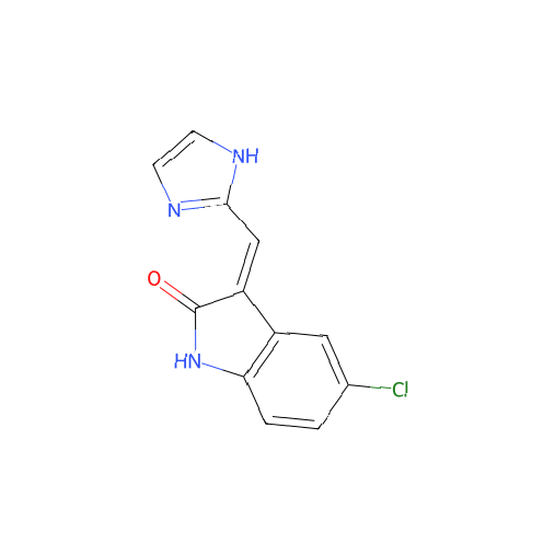 O=C1Nc2ccc(Cl)cc2C1=Cc1ncc[nH]1